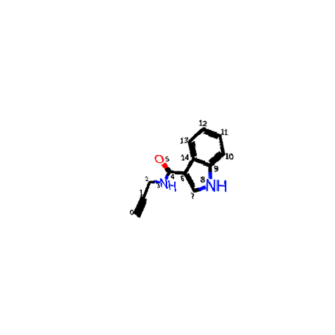 C#CCNC(=O)c1c[nH]c2ccccc12